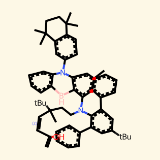 C=C(O)/C=C\C(C)(CCN(c1cc(C)cc2c1Bc1ccccc1N2c1ccc2c(c1)C(C)(C)CCC2(C)C)c1c(-c2ccccc2)cc(C(C)(C)C)cc1-c1ccccc1)C(C)(C)C